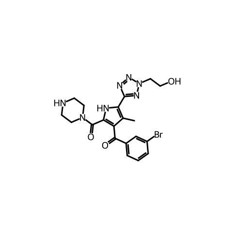 Cc1c(-c2nnn(CCO)n2)[nH]c(C(=O)N2CCNCC2)c1C(=O)c1cccc(Br)c1